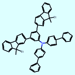 CCC1(C)c2ccccc2-c2ccc(-c3cc(-c4ccc5c(c4)C(C)(CC)c4ccccc4-5)cc(N(c4ccc(-c5ccccc5)cc4)c4ccc(-c5ccccc5)cc4)c3)cc21